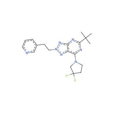 CC(C)(C)c1nc(N2CCC(F)(F)C2)c2nn(CCc3cccnc3)nc2n1